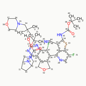 CC(C)(COc1nc(N2C3CCC2CN(C(=O)OC(C)(C)C)C3)c2c3c(c(-c4ncc(F)c5sc(NC(=O)OC(C)(C)C)c(C#N)c45)c(F)c2n1)COC3)CN1CCOCC1